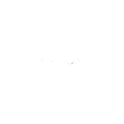 [N-]=[N+]=NCCOCCF